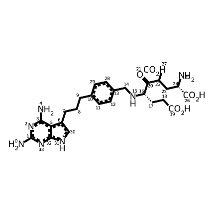 Nc1nc(N)c2c(CCCc3ccc(CN[C@@H](CCC(=O)O)C(=O)C(C[C@H](N)C(=O)O)C(=O)O)cc3)c[nH]c2n1